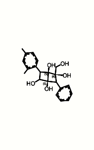 Cc1ccc(C2C(O)[C@@]3(O)C(c4ccccc4)[C@@](O)(CO)[C@@]23O)c(C)c1